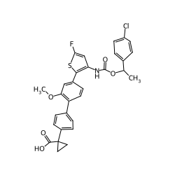 COc1cc(-c2sc(F)cc2NC(=O)OC(C)c2ccc(Cl)cc2)ccc1-c1ccc(C2(C(=O)O)CC2)cc1